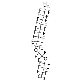 [CH2]C(F)(F)C(F)(F)C(F)(F)C(F)(F)C(F)(F)C(F)(F)C(F)(F)C(F)(F)C(F)(F)OC(F)(F)C(F)(F)OC(F)(F)C(F)(F)C(F)(F)C(F)(F)F